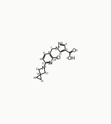 O=C(O)c1cnn(Cc2ccc(N3CC4(CC4)C3)nc2Cl)c1